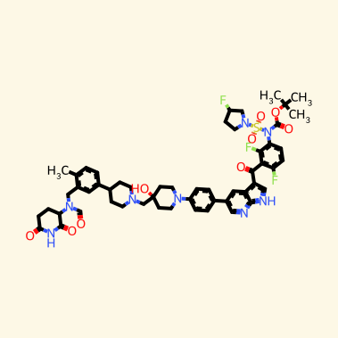 Cc1ccc(C2CCN(CC3(O)CCN(c4ccc(-c5cnc6[nH]cc(C(=O)c7c(F)ccc(N(C(=O)OC(C)(C)C)S(=O)(=O)N8CCC(F)C8)c7F)c6c5)cc4)CC3)CC2)cc1CN(C=O)C1CCC(=O)NC1=O